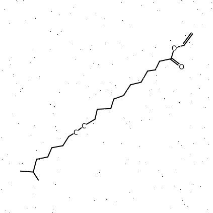 C=COC(=O)CCCCCCCCCCCCCCCCCC(C)C